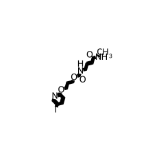 CNC(=O)C=CCNC(=O)OCCCOc1ccc(I)cn1